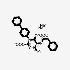 CC(C)C[C@H](N[C@@H](Cc1ccccc1)C(=O)[O-])C(=O)N(c1ccc(-c2ccccc2)cc1)[C@@H](C)C(=O)[O-].[Na+].[Na+]